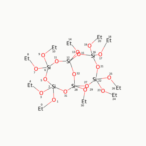 CCO[Si]1(OCC)O[Si](OCC)(OCC)O[Si]2(OCC)O[Si](OCC)(OCC)O[Si](OCC)(OCC)O[Si](OCC)(O1)O2